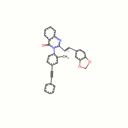 Cc1cc(C#Cc2ccccc2)ccc1-n1c(/C=C/c2ccc3c(c2)OCO3)nc2ccccc2c1=O